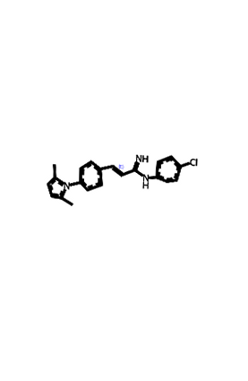 Cc1ccc(C)n1-c1ccc(/C=C/C(=N)Nc2ccc(Cl)cc2)cc1